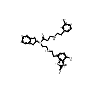 O=C(CCNCCc1cccc(Cl)c1)N(CCNCCc1ccc(O)c2[nH]c(=O)sc12)C1Cc2ccccc2C1